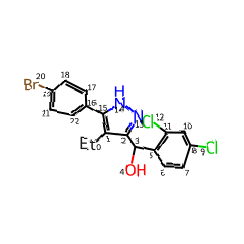 CCc1c(C(O)c2ccc(Cl)cc2Cl)n[nH]c1-c1ccc(Br)cc1